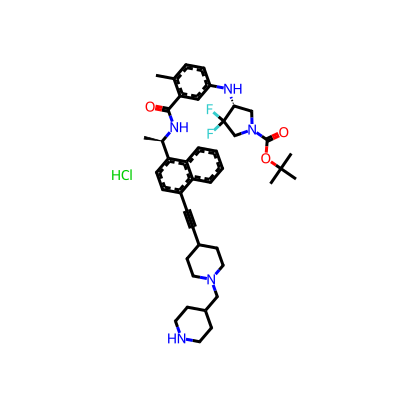 Cc1ccc(N[C@@H]2CN(C(=O)OC(C)(C)C)CC2(F)F)cc1C(=O)N[C@H](C)c1ccc(C#CC2CCN(CC3CCNCC3)CC2)c2ccccc12.Cl